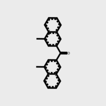 Cc1cc(C(=O)c2cc(C)c3ccccc3c2)cc2ccccc12